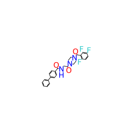 O=C(NCC(=O)N1CCN(C(=O)c2c(F)ccc(F)c2F)CC1)c1ccc(-c2ccccc2)cc1